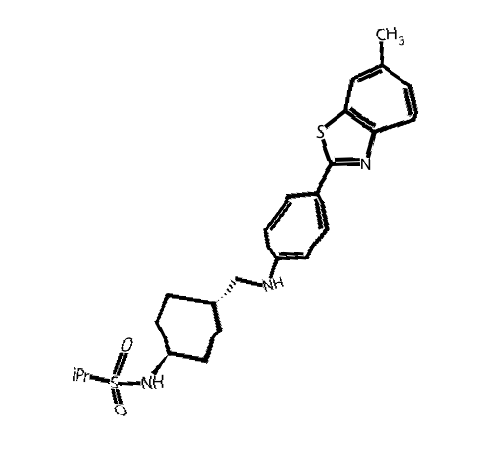 Cc1ccc2nc(-c3ccc(NC[C@H]4CC[C@H](NS(=O)(=O)C(C)C)CC4)cc3)sc2c1